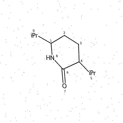 CC(C)C1CCC(C(C)C)C(=O)N1